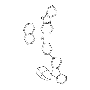 c1ccc2c(c1)-c1ccc(-c3ccc(N(c4ccc5c(c4)oc4ccccc45)c4cccc5ccccc45)cc3)cc1C21C2CC3CC(C2)CC1C3